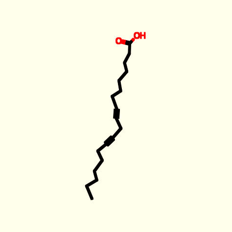 CCCCCCC#CCC#CCCCCCCC(=O)O